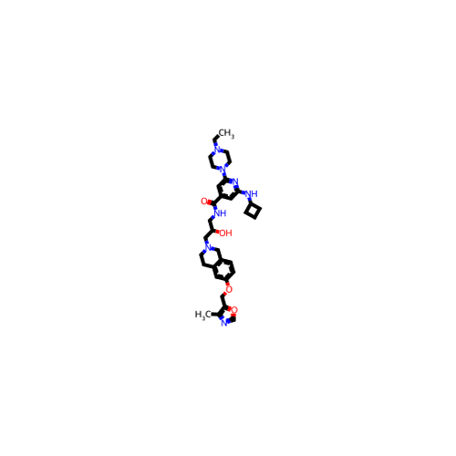 CCN1CCN(c2cc(C(=O)NCC(O)CN3CCc4cc(OCc5ocnc5C)ccc4C3)cc(NC3CCC3)n2)CC1